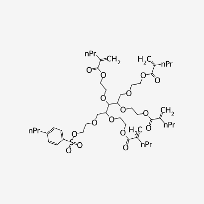 C=C(CCC)C(=O)OCCOCC(OCCOC(=O)C(=C)CCC)C(OCCOC(=O)C(=C)CCC)C(COCCOS(=O)(=O)c1ccc(CCC)cc1)OCCOC(=O)C(=C)CCC